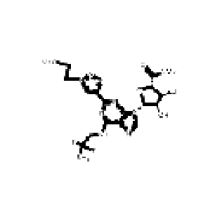 CNC(=O)[C@H]1O[C@@H](n2cnc3c(NCC(C)(F)F)nc(-c4cn(CCOC)nn4)nc32)[C@H](O)[C@@H]1O